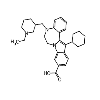 CCN1CCCC(CN2CCn3c(c(C4CCCCC4)c4ccc(C(=O)O)cc43)-c3ccccc32)C1